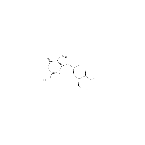 CC(O[C@H](CO)C(O)CO)n1cnc2c(=O)[nH]c(N)nc21